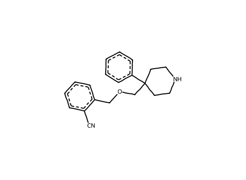 N#Cc1ccccc1COCC1(c2ccccc2)CCNCC1